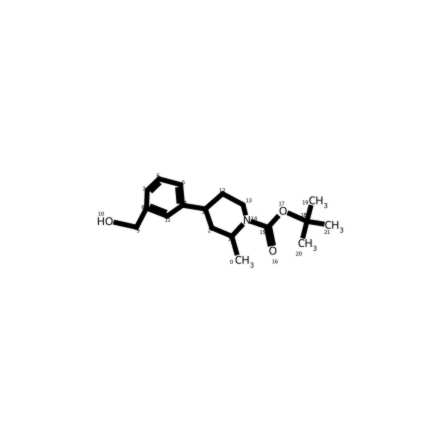 CC1CC(c2cccc(CO)c2)CCN1C(=O)OC(C)(C)C